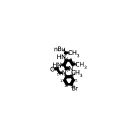 CCCCC(C)Nc1cc(C)nc2c1NC(=O)CN2c1ccc(Br)cc1C